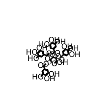 O=C(OC[C@H]1OC(O)[C@H](OC(=O)c2cc(O)c(O)c(O)c2)[C@@H](OC(=O)c2cc(O)c(O)c(O)c2)[C@@H]1OC(=O)c1cc(O)c(O)c(O)c1)c1cc(O)c(O)c(O)c1